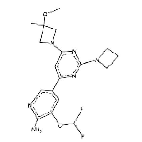 COC1(C)CN(c2cc(-c3cnc(N)c(OC(F)F)c3)nc(N3CCC3)n2)C1